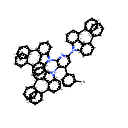 N#Cc1cccc(-c2cc(-n3c4cccc(-c5ccccc5)c4c4c(-c5ccccc5)cccc43)nc(-n3c4cccc(-c5ccccc5)c4c4c(-c5ccccc5)cccc43)c2-n2c3cccc(-c4ccccc4)c3c3c(-c4ccccc4)cccc32)c1